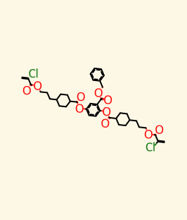 C=C(Cl)C(=O)OCCCC1CCC(C(=O)Oc2ccc(OC(=O)C3CCC(CCCOC(=O)C(=C)Cl)CC3)c(C(=O)OCc3ccccc3)c2)CC1